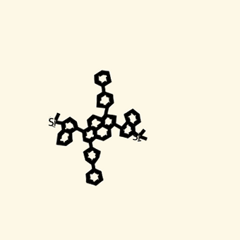 C[Si](C)(C)c1ccc(-c2cc(-c3ccc(-c4ccccc4)cc3)c3ccc4c(-c5ccc([Si](C)(C)C)c6ccccc56)cc(-c5ccc(-c6ccccc6)cc5)c5ccc2c3c54)c2ccccc12